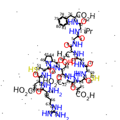 CC(C)[C@H](NC(=O)CNC(=O)[C@H](C)NC(=O)CNC(=O)[C@H](CS)NC(=O)[C@H](CCC(=O)O)NC(=O)[C@H](CC(=O)O)NC(=O)[C@H](CO)NC(=O)[C@@H]1CCCN1C(=O)[C@H](CS)NC(=O)[C@H](CCC(=O)O)NC(=O)[C@@H](N)CCCNC(=N)N)C(=O)N[C@@H](Cc1ccccc1)C(=O)O